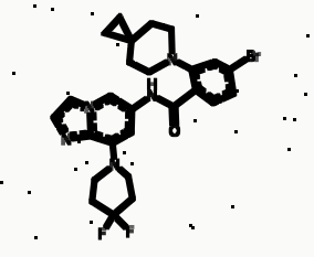 O=C(Nc1cc(N2CCC(F)(F)CC2)c2nccn2c1)c1ccc(Br)cc1N1CCC2(CC1)CC2